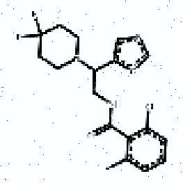 O=C(NCC(c1cnco1)N1CCC(F)(F)CC1)c1c(F)cccc1Cl